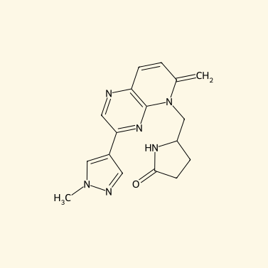 C=C1C=Cc2ncc(-c3cnn(C)c3)nc2N1CC1CCC(=O)N1